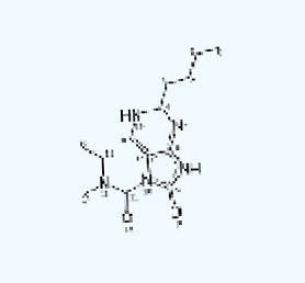 CCCCC1N=c2[nH]c(=O)n(C(=O)N(C)CC)c2=CN1